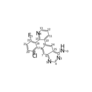 CNc1ncnc2ccc(-c3cccnc3-c3cc(Cl)ccc3F)cc12